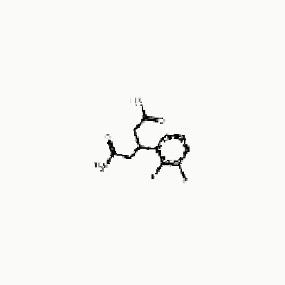 NC(=O)CC(CC(N)=O)c1cccc(F)c1F